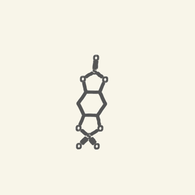 O=S1OC2CC3OS(=O)(=O)OC3CC2O1